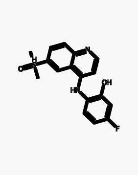 C[SH](C)(=O)c1ccc2nccc(Nc3ccc(F)cc3O)c2c1